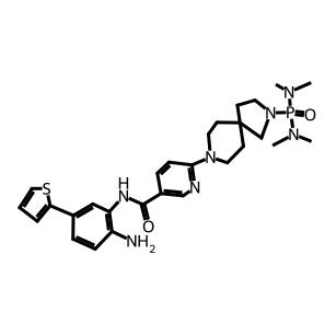 CN(C)P(=O)(N(C)C)N1CCC2(CCN(c3ccc(C(=O)Nc4cc(-c5cccs5)ccc4N)cn3)CC2)C1